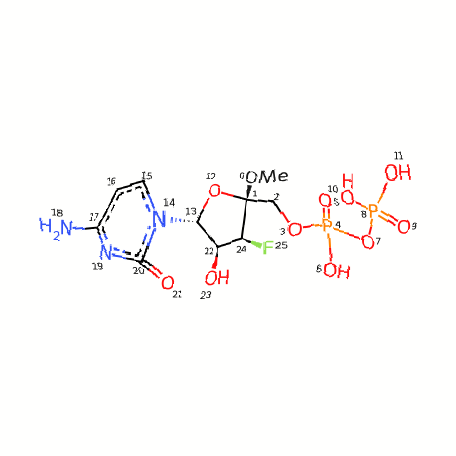 CO[C@]1(COP(=O)(O)OP(=O)(O)O)O[C@@H](n2ccc(N)nc2=O)[C@H](O)[C@@H]1F